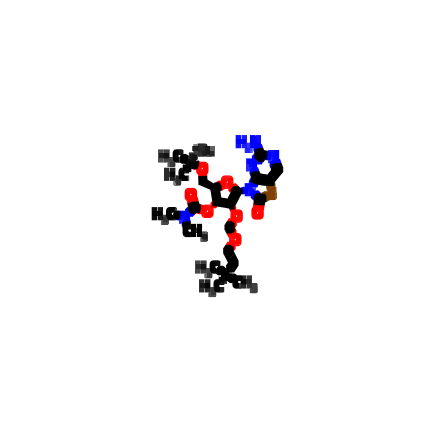 CN(C)C(=O)O[C@H]1[C@@H](OCOCC[Si](C)(C)C)[C@H](n2c(=O)sc3cnc(N)nc32)O[C@@H]1CO[Si](C)(C)C(C)(C)C